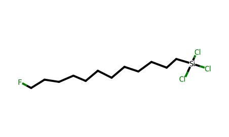 FCCCCCCCCCCCC[Si](Cl)(Cl)Cl